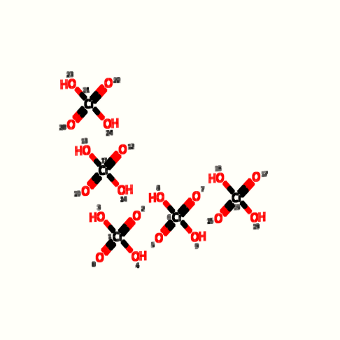 [O]=[Cr](=[O])([OH])[OH].[O]=[Cr](=[O])([OH])[OH].[O]=[Cr](=[O])([OH])[OH].[O]=[Cr](=[O])([OH])[OH].[O]=[Cr](=[O])([OH])[OH]